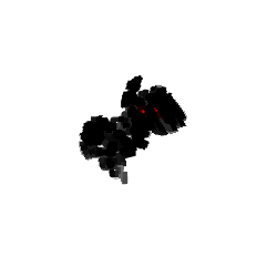 CC(C)=C[C@H]1CCN(C(=O)[C@@H](NC(=O)C(F)(F)F)C(C)(C)CCC(C)[C@H]2CCN(C(=O)[C@@H](NC(=O)C(F)(F)F)C(C)(C)C)[C@@H]2C(=O)N[C@@H](C#N)c2cncc3cc(F)ccc23)[C@@H]1C(=O)NC(C#N)c1cncc2ccncc12